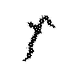 CCCCc1ccc(-c2cccc(Nc3ccc(C(C)(C)c4ccc(C(C)(C)c5ccc(C(CC(C)C)(c6ccc(-c7ccc(C)cc7)cc6)c6ccc(-c7ccc(N(C)c8cccc(-c9ccc(CCCC)cc9)c8)cc7)cc6)cc5)cc4)cc3)c2)cc1